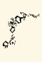 CCCCCCCc1coc(-c2ccc(S(=O)(=O)Nc3ccc(CCNCC(O)c4cccnc4)cc3)cc2)n1